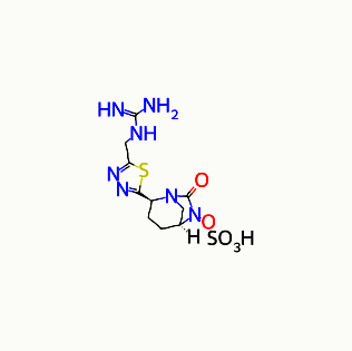 N=C(N)NCc1nnc([C@@H]2CC[C@H]3CN2C(=O)N3OS(=O)(=O)O)s1